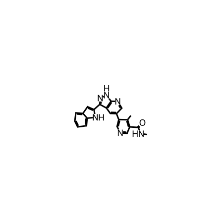 CNC(=O)c1cncc(-c2cnc3[nH]nc(-c4cc5ccccc5[nH]4)c3c2)c1C